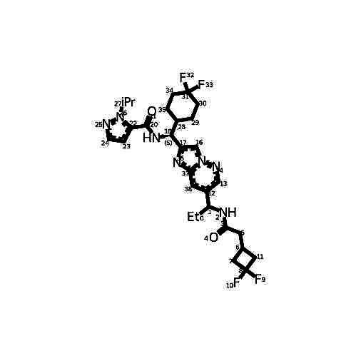 CCC(NC(=O)CC1CC(F)(F)C1)c1cnn2cc([C@@H](NC(=O)c3ccnn3C(C)C)C3CCC(F)(F)CC3)nc2c1